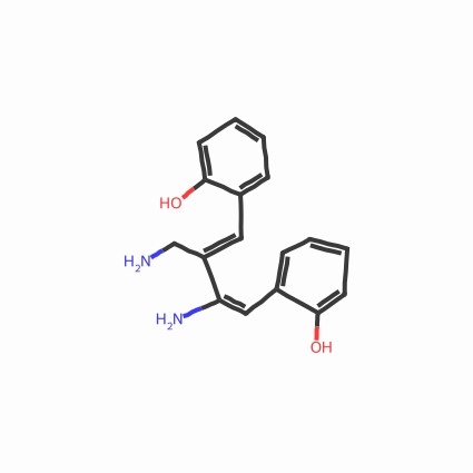 NCC(=C\c1ccccc1O)/C(N)=C\c1ccccc1O